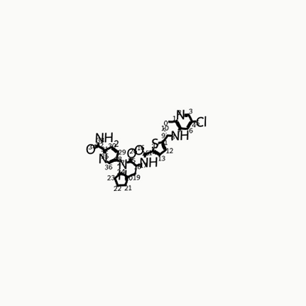 Cc1ncc(Cl)cc1N[C@@H](C)c1ccc(C(=O)N[C@@H](CC2CCCC2)C(=O)Nc2ccc(C(N)=O)nc2)s1